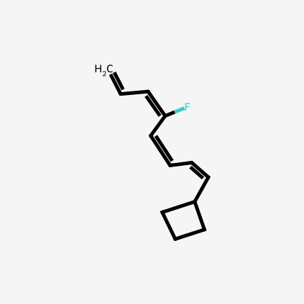 C=C\C=C(F)/C=C\C=C/C1CCC1